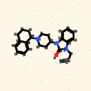 O=C(O)Cn1c(=O)n(C2CCN(C3CCCc4ccccc43)CC2)c2ccccc21